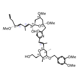 C=CC[C@H](/C=C/C(C)=C/[C@@H](O)[C@H]1C[C@@H](OC)C[C@](Cc2nc(/C=C(\C)[C@@H]3O[C@H](CCO)[C@H](C)[C@H](OCc4ccc(OC)c(OC)c4)[C@H]3C)co2)(OC)O1)OC